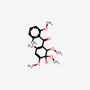 COC1=CC(C)=C(C(=O)c2c(C)cccc2OC)C(OC)C1(Br)OC